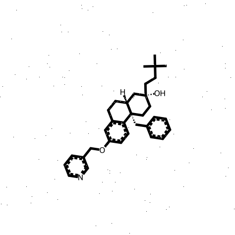 CC(C)(C)CC[C@@]1(O)CC[C@@]2(Cc3ccccc3)c3ccc(OCc4cccnc4)cc3CC[C@@H]2C1